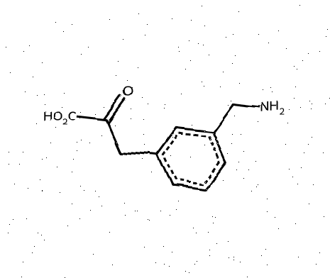 NCc1cccc(CC(=O)C(=O)O)c1